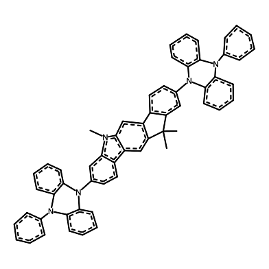 Cn1c2cc(N3c4ccccc4N(c4ccccc4)c4ccccc43)ccc2c2cc3c(cc21)-c1ccc(N2c4ccccc4N(c4ccccc4)c4ccccc42)cc1C3(C)C